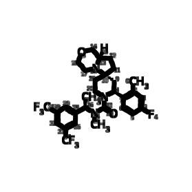 Cc1cc(F)ccc1[C@@H]1C[C@]2(CC[C@H]3COCCN32)CCN1C(=O)N(C)[C@H](C)c1cc(C(F)(F)F)cc(C(F)(F)F)c1